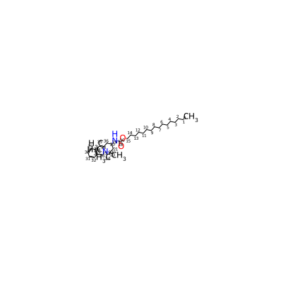 CCCCCCCCCCCCCCCCOC(=O)NC1CC(C)(C)N(Cc2ccccc2)C(C)(C)C1